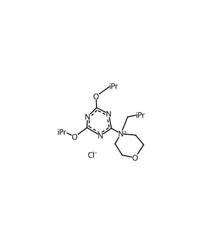 CC(C)C[N+]1(c2nc(OC(C)C)nc(OC(C)C)n2)CCOCC1.[Cl-]